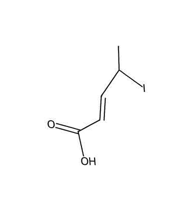 CC(I)C=CC(=O)O